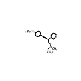 CCCCCc1ccc(C#CC(=CCN(C)CC(=O)O)c2ccccc2)cc1